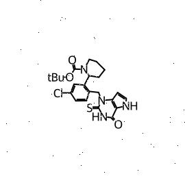 CC(C)(C)OC(=O)N1CCCCC1c1cc(Cl)ccc1Cn1c(=S)[nH]c(=O)c2[nH]ccc21